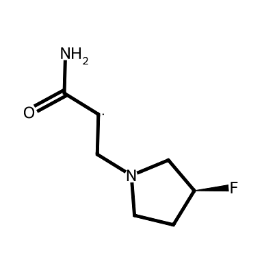 NC(=O)[CH]CN1CC[C@H](F)C1